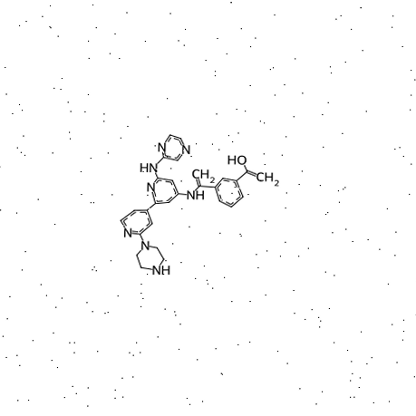 C=C(O)c1cccc(C(=C)Nc2cc(Nc3cnccn3)nc(-c3ccnc(N4CCNCC4)c3)c2)c1